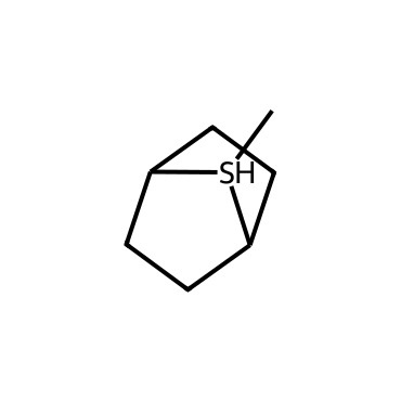 C[SH]1C2CCC1CC2